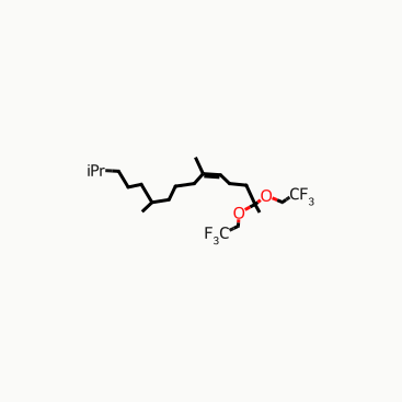 CC(=CCCC(C)(OCC(F)(F)F)OCC(F)(F)F)CCCC(C)CCCC(C)C